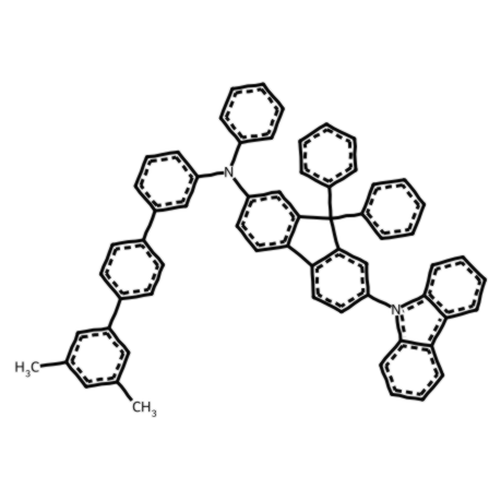 Cc1cc(C)cc(-c2ccc(-c3cccc(N(c4ccccc4)c4ccc5c(c4)C(c4ccccc4)(c4ccccc4)c4cc(-n6c7ccccc7c7ccccc76)ccc4-5)c3)cc2)c1